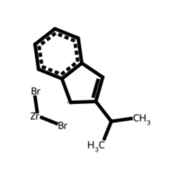 CC(C)C1=Cc2ccccc2[CH]1.[Br][Zr][Br]